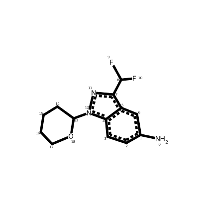 Nc1ccc2c(c1)c(C(F)F)nn2C1CCCCO1